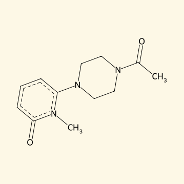 CC(=O)N1CCN(c2cccc(=O)n2C)CC1